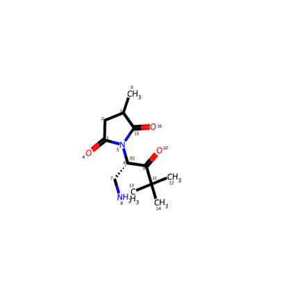 CC1CC(=O)N([C@@H](CN)C(=O)C(C)(C)C)C1=O